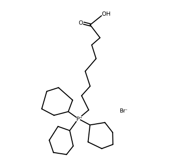 O=C(O)CCCCCCC[P+](C1CCCCC1)(C1CCCCC1)C1CCCCC1.[Br-]